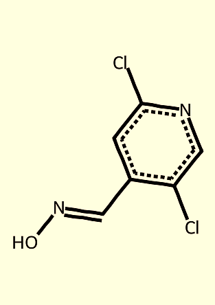 ON=Cc1cc(Cl)ncc1Cl